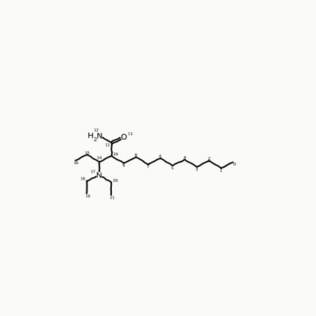 CCCCCCCCCCC(C(N)=O)C(CC)N(CC)CC